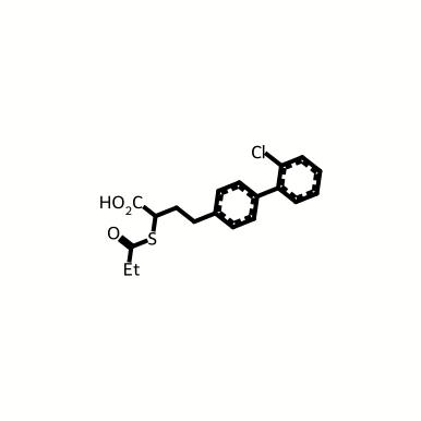 CCC(=O)SC(CCc1ccc(-c2ccccc2Cl)cc1)C(=O)O